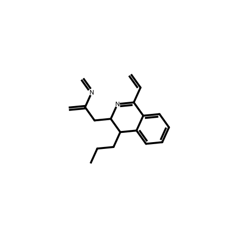 C=CC1=NC(CC(=C)N=C)C(CCC)c2ccccc21